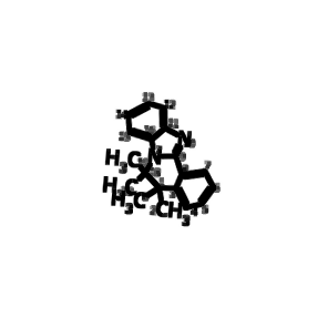 CC1(C)c2ccccc2-c2nc3ccccc3n2C1(C)C